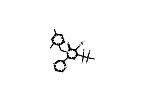 [C-]#[N+]c1c(C(F)(F)C(F)(F)F)cc(-c2cnccn2)n(Cc2ccc(C)cc2C)c1=O